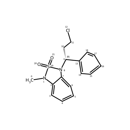 CN1c2ccccc2N([C@H](CCCl)c2ccccc2)S1(=O)=O